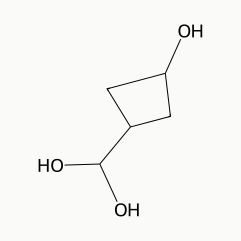 OC1CC(C(O)O)C1